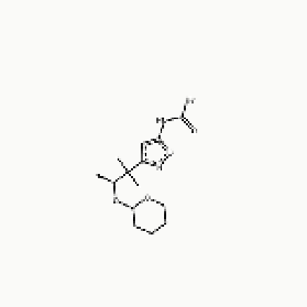 CC(C)C(=O)Nc1cc(C(C)(C)[C@H](C)OC2CCCCO2)no1